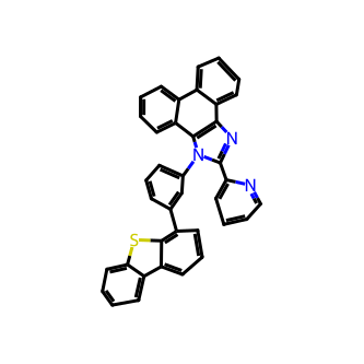 c1ccc(-c2nc3c4ccccc4c4ccccc4c3n2-c2cccc(-c3cccc4c3sc3ccccc34)c2)nc1